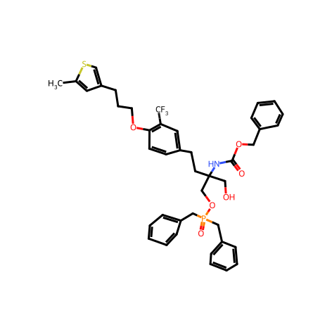 Cc1cc(CCCOc2ccc(CCC(CO)(COP(=O)(Cc3ccccc3)Cc3ccccc3)NC(=O)OCc3ccccc3)cc2C(F)(F)F)cs1